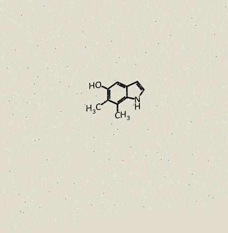 Cc1c(O)cc2cc[nH]c2c1C